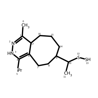 CC1=NNC(C(C)C)=C2CCC(C(C)SS)CCCC12